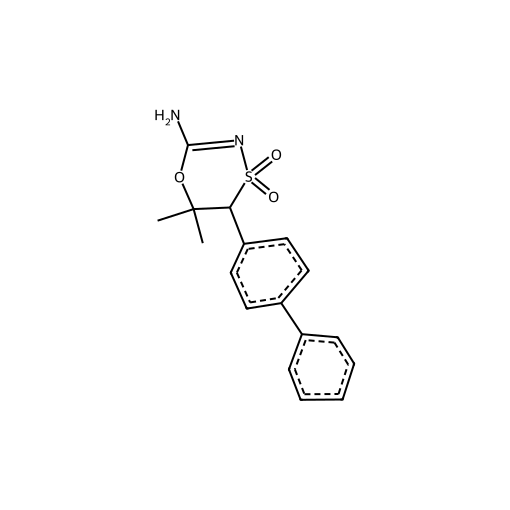 CC1(C)OC(N)=NS(=O)(=O)C1c1ccc(-c2ccccc2)cc1